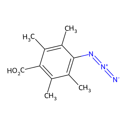 Cc1c(C)c(C(=O)O)c(C)c(C)c1N=[N+]=[N-]